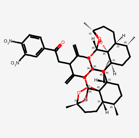 C=C(C[C@H]1O[C@@H]2O[C@]3(C)CC[C@H]4[C@H](C)CC[C@@H]([C@H]1C)[C@@]24OO3)C(CC(=O)c1ccc([N+](=O)[O-])c([N+](=O)[O-])c1)C(=C)C[C@H]1O[C@@H]2O[C@]3(C)CC[C@H]4[C@H](C)CC[C@@H]([C@H]1C)[C@@]24OO3